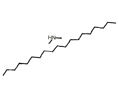 CCCCCCCCCCCCCCCCCCC.CNC